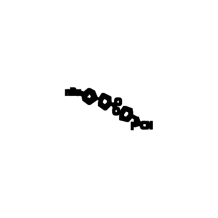 CCCCc1ccc([C@H]2CC[C@H](C(=O)O[C@H]3CC[C@H](C=C(F)C#N)CC3)CC2)cc1